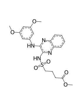 COC(=O)CCCS(=O)(=O)Nc1nc2ccccc2nc1Nc1cc(OC)cc(OC)c1